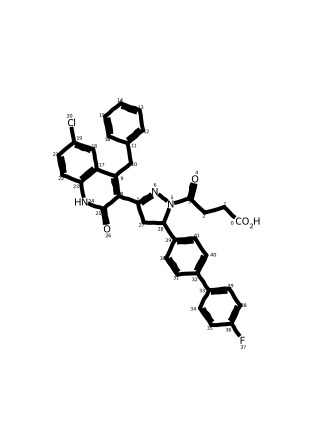 O=C(O)CCC(=O)N1N=C(c2c(Cc3ccccc3)c3cc(Cl)ccc3[nH]c2=O)CC1c1ccc(-c2ccc(F)cc2)cc1